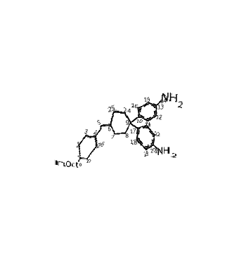 CCCCCCCCC1CCC(CC2CCC(c3ccc(N)cc3)(c3ccc(N)cc3)CC2)CC1